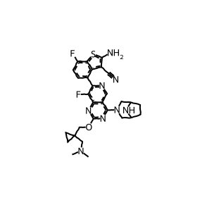 CN(C)CC1(COc2nc(N3CC4CCC(C3)N4)c3cnc(-c4ccc(F)c5sc(N)c(C#N)c45)c(F)c3n2)CC1